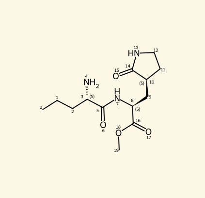 CCC[C@H](N)C(=O)N[C@@H](C[C@@H]1CCNC1=O)C(=O)OC